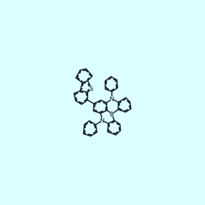 c1ccc(N2c3ccccc3B3c4ccccc4N(c4ccccc4)c4cc(-c5cccc6c5sc5ccccc56)cc2c43)cc1